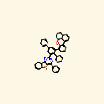 C1=CC(c2cc(-c3nc(-c4ccccc4)c4sc5c(c4n3)CCC=C5)c(-c3ccccc3)c(-c3cccc4c3Oc3cccc5cccc-4c35)c2)=CCC1